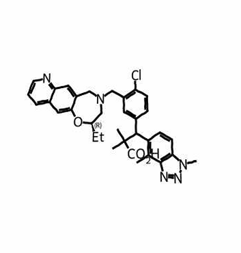 CC[C@@H]1CN(Cc2cc(C(c3ccc4c(nnn4C)c3C)C(C)(C)C(=O)O)ccc2Cl)Cc2cc3ncccc3cc2O1